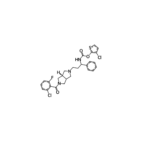 O=C(NC(CCN1CC2CN(C(=O)c3c(F)cccc3Cl)C[C@@H]2C1)c1ccccc1)Oc1sccc1Cl